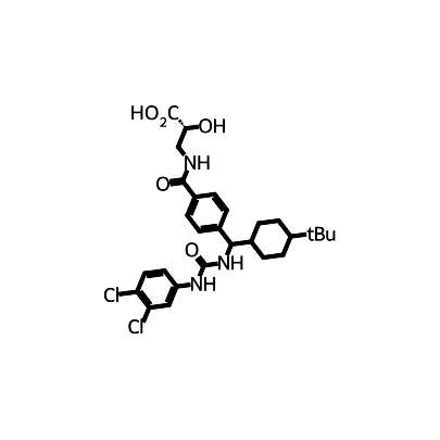 CC(C)(C)C1CCC(C(NC(=O)Nc2ccc(Cl)c(Cl)c2)c2ccc(C(=O)NC[C@@H](O)C(=O)O)cc2)CC1